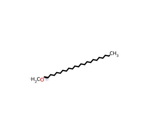 [CH2]O/C=C/CCCCCCCCCCCCCCCCCCCCC